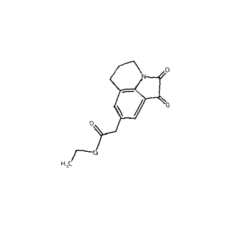 CCOC(=O)Cc1cc2c3c(c1)C(=O)C(=O)N3CCC2